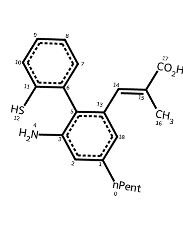 CCCCCc1cc(N)c(-c2ccccc2S)c(C=C(C)C(=O)O)c1